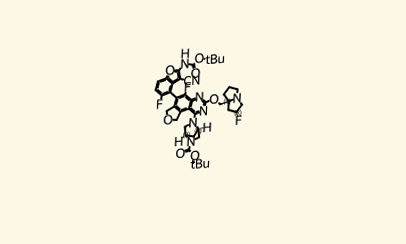 CC(C)(C)OC(=O)Nc1oc2ccc(F)c(-c3c4c(c5c(N6C[C@H]7C[C@@H]6CN7C(=O)OC(C)(C)C)nc(OC[C@@]67CCCN6C[C@H](F)C7)nc5c3F)COC4)c2c1C#N